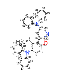 C=CCc1c(/C=C\Cn2c3ccccc3c3ccccc32)oc2ncc(-n3c4ccccc4c4ccccc43)cc12